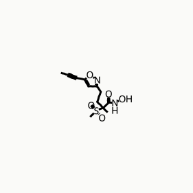 CC#Cc1cc(CCC(C)(C(=O)NO)S(C)(=O)=O)no1